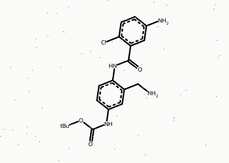 CC(C)(C)OC(=O)Nc1ccc(NC(=O)c2cc(N)ccc2Cl)c(CN)c1